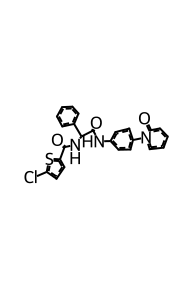 O=C(NC(C(=O)Nc1ccc(-n2ccccc2=O)cc1)c1ccccc1)c1ccc(Cl)s1